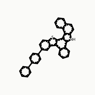 c1ccc(-c2ccc(-c3ccc4sc5c(c4c3)c3ccccc3c3[nH]c4ccc6ccccc6c4c35)cc2)cc1